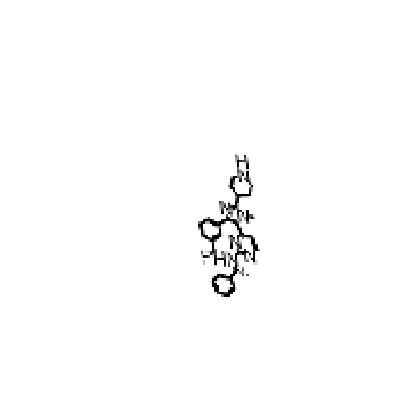 C[C@@H](Nc1nccc(-c2c(-c3cccc(CF)c3)nc(C3CCNCC3)n2C)n1)c1ccccc1